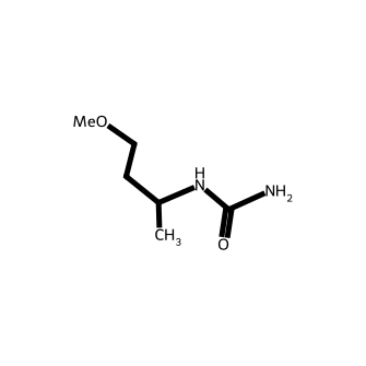 COCCC(C)NC(N)=O